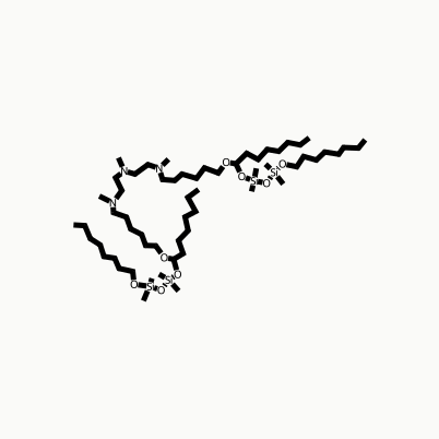 CCCCCCCCO[Si](C)(C)O[Si](C)(C)OC(CCCCCCC)OCCCCCCN(C)CCN(C)CCN(C)CCCCCCOC(CCCCCCC)O[Si](C)(C)O[Si](C)(C)OCCCCCCCC